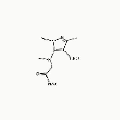 CNC(=O)CN(C)c1c(C=O)c(C)nn1C